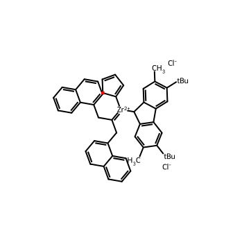 Cc1cc2c(cc1C(C)(C)C)-c1cc(C(C)(C)C)c(C)cc1[CH]2[Zr+2]([C]1=CC=CC1)=[C](Cc1cccc2ccccc12)Cc1cccc2ccccc12.[Cl-].[Cl-]